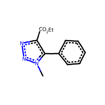 CCOC(=O)c1nnn(C)c1-c1ccccc1